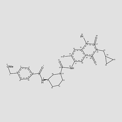 COCc1ccc(C(=O)N[C@@H]2CCCN(C(=O)Nc3cc4c(=O)n(CC5CC5)c(=O)n(C(C)C)c4cc3F)C2)cc1